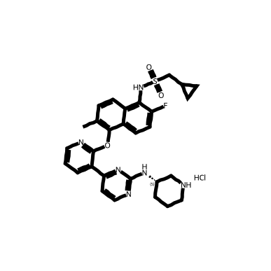 Cc1ccc2c(NS(=O)(=O)CC3CC3)c(F)ccc2c1Oc1ncccc1-c1ccnc(N[C@H]2CCCNC2)n1.Cl